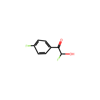 O=C(c1ccc(F)cc1)C(O)F